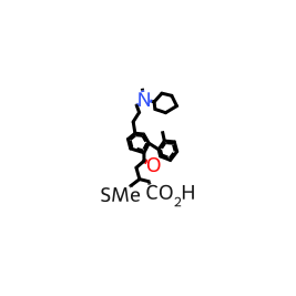 CSCC(CC(=O)O)CC(=O)c1ccc(CCCN(C)C2CCCCC2)cc1-c1ccccc1C